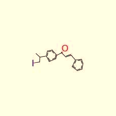 CC(CI)c1ccc(C(=O)C=Cc2ccccc2)cc1